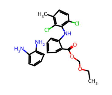 CCOCOC(=O)c1ccccc1Nc1c(Cl)ccc(C)c1Cl.Nc1ccccc1N